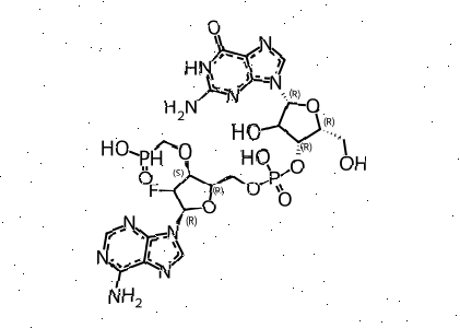 Nc1nc2c(ncn2[C@@H]2O[C@H](CO)[C@H](OP(=O)(O)OC[C@H]3O[C@@H](n4cnc5c(N)ncnc54)C(F)[C@H]3OC[PH](=O)O)C2O)c(=O)[nH]1